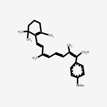 CC(=O)Nc1ccc(C(C(=O)O)=C(C)C=CC=C(C)C=CC2=C(C)CCCC2(C)C)cc1